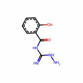 N=C(NN)NC(=O)c1ccccc1O